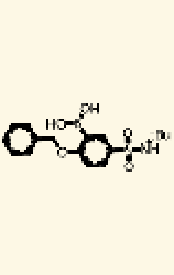 CC(C)(C)NS(=O)(=O)c1ccc(OCc2ccccc2)c(B(O)O)c1